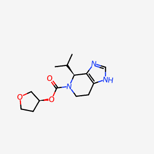 CC(C)[C@H]1c2nc[nH]c2CCN1C(=O)O[C@H]1CCOC1